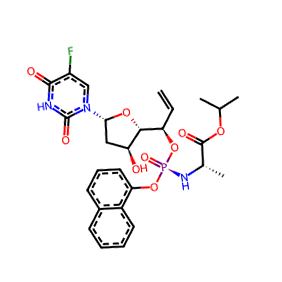 C=C[C@@H](O[P@](=O)(N[C@@H](C)C(=O)OC(C)C)Oc1cccc2ccccc12)[C@H]1O[C@@H](n2cc(F)c(=O)[nH]c2=O)C[C@@H]1O